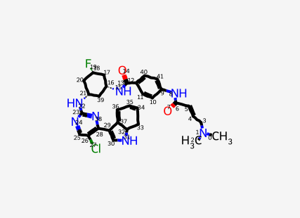 CN(C)C/C=C/C(=O)Nc1ccc(C(=O)N[C@H]2C[C@@H](F)C[C@@H](Nc3ncc(Cl)c(C4=CNC5CC=CC=C45)n3)C2)cc1